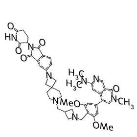 COc1cc(-c2cn(C)c(=O)c3cnc(N(C)C)cc23)cc(OC)c1CN1CC(CN2CCC3(CC2)CN(c2ccc4c(c2)C(=O)N(C2CCC(=O)NC2=O)C4=O)C3)C1